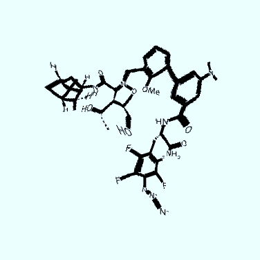 COc1c(CN2O[C@@H](CO)[C@@H]([C@H](C)O)C2C(=O)N[C@H]2C[C@H]3C[C@@H]([C@@H]2C)C3(C)C)cccc1-c1cc(C(=O)N[C@@H](Cc2c(F)c(F)c(N=[N+]=[N-])c(F)c2F)C(N)=O)cc(N(C)C)c1